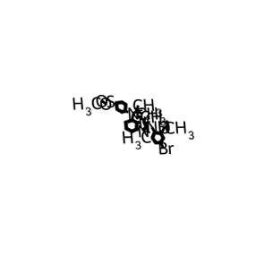 COOSc1ccc(N(c2cccc3nc(Nc4c(C)cc(Br)cc4OC)n(C)c23)C(C)C)cc1